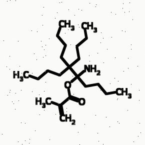 C=C(C)C(=O)OC(N)(CCCC)C(CCCC)(CCCC)CCCC